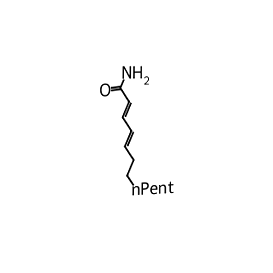 CCCCCCCC=CC=CC(N)=O